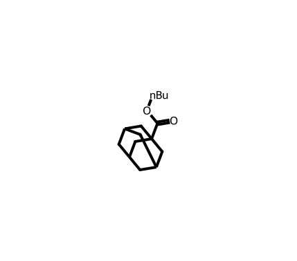 C[CH]CCOC(=O)C12CC3CC(CC(C3)C1)C2